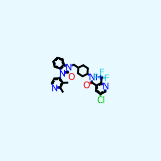 Cc1nccc(-n2c(=O)n(CC3CCC(NC(=O)c4cc(Cl)cnc4C(F)(F)F)CC3)c3ccccc32)c1C